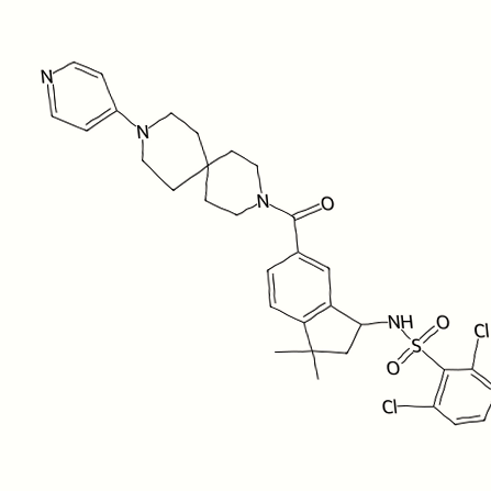 CC1(C)CC(NS(=O)(=O)c2c(Cl)cccc2Cl)c2cc(C(=O)N3CCC4(CC3)CCN(c3ccncc3)CC4)ccc21